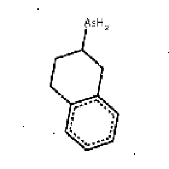 [AsH2]C1CCc2ccccc2C1